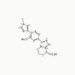 CCOC(=O)C1CCCn2c(-c3ccc(-c4cnn(C)c4)c(OC)c3)nnc21